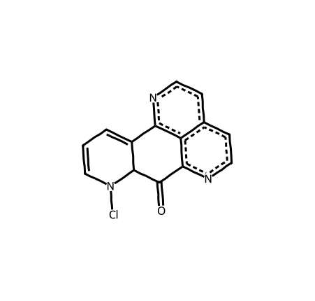 O=C1c2nccc3ccnc(c23)C2=CC=CN(Cl)C12